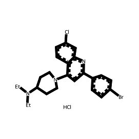 CCN(CC)C1CCN(c2cc(-c3ccc(Br)cc3)nc3cc(Cl)ccc23)CC1.Cl